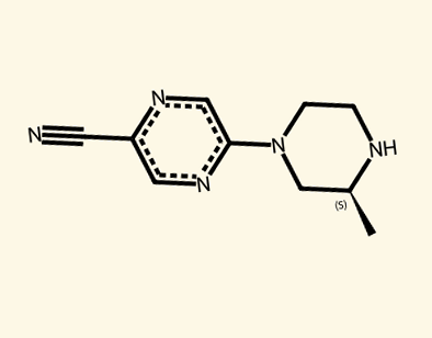 C[C@H]1CN(c2cnc(C#N)cn2)CCN1